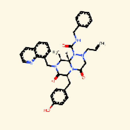 C=CCN1CC(=O)N2[C@@H](Cc3ccc(O)cc3)C(=O)N(Cc3cccc4cccnc34)[C@@H](C)[C@@H]2N1C(=O)NCc1ccccc1